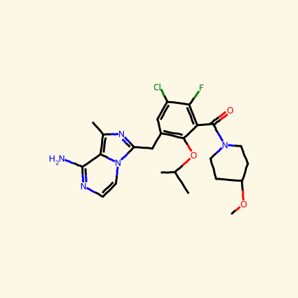 COC1CCN(C(=O)c2c(F)c(Cl)cc(Cc3nc(C)c4c(N)nccn34)c2OC(C)C)CC1